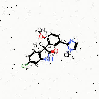 COc1ccc(-c2nccn2C)cc1[C@]1(C)C(=O)Nc2cc(Cl)ccc21